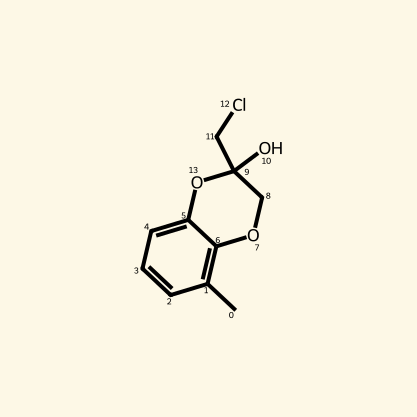 Cc1cccc2c1OCC(O)(CCl)O2